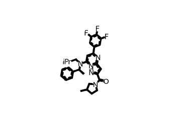 CC(C)CN(c1cc(-c2cc(F)c(F)c(F)c2)nc2cc(C(=O)N3CCC(C)C3)nn12)C(C)c1ccccc1